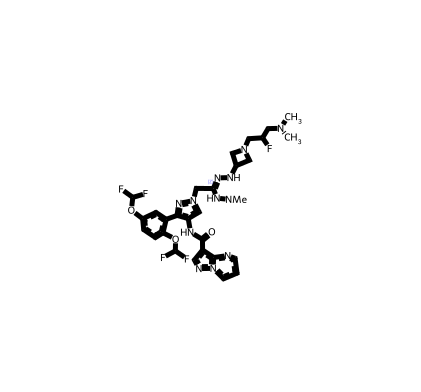 CNN/C(Cn1cc(NC(=O)c2cnn3cccnc23)c(-c2cc(OC(F)F)ccc2OC(F)F)n1)=N\NC1CN(CC(F)CN(C)C)C1